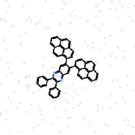 c1ccc(-c2nc3cc(-c4ccc5ccc6cccc7ccc4c5c67)c(-c4ccc5ccc6cccc7ccc4c5c67)cc3nc2-c2ccccc2)cc1